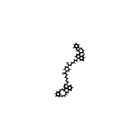 O=C(CCCCCN1C=CC2=C3CSc4ccccc4NCCC3Oc3cccc1c32)N1CCN(C(=O)CCCCCN2C=CC3=C4c5sc6ccccc6[n+]5CCC4Oc4cccc2c43)CC1